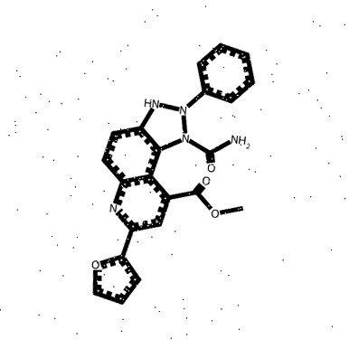 COC(=O)c1cc(-c2ccco2)nc2ccc3c(c12)N(C(N)=O)N(c1ccccc1)N3